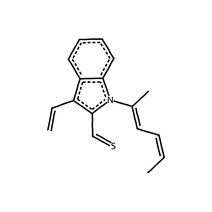 C=Cc1c(C=S)n(/C(C)=C/C=C\C)c2ccccc12